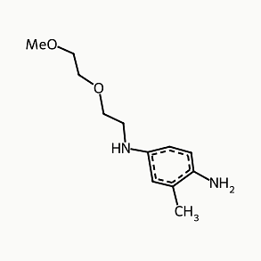 COCCOCCNc1ccc(N)c(C)c1